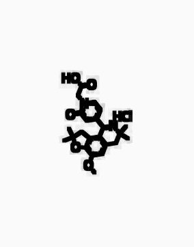 COc1cc2c(c3c1OC(C)(C)C3)C(c1ccn(CC(=O)O)c(=O)c1)=NC(C)(C)C2.Cl